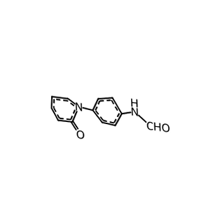 O=CNc1ccc(-n2ccccc2=O)cc1